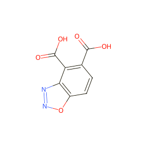 O=C(O)c1ccc2onnc2c1C(=O)O